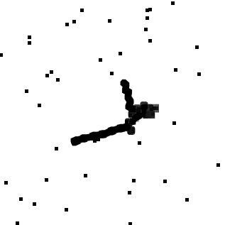 C#CC#CC#CC#CC#CC#CC(=O)OC[C@@H](COP(=O)(O)O)OC(=O)CCCCCCC